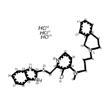 CN(CCCN1CCc2ccccc2C1)c1ccnc(CSc2nc3ccccc3[nH]2)c1Cl.Cl.Cl.Cl